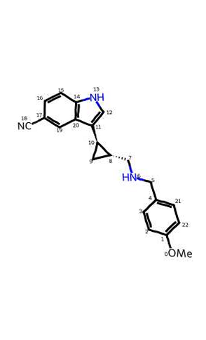 COc1ccc(CNC[C@@H]2C[C@H]2c2c[nH]c3ccc(C#N)cc23)cc1